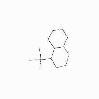 CC(C)(C)C1CCCC2CCCCC21